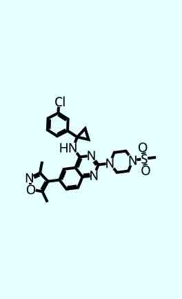 Cc1noc(C)c1-c1ccc2nc(N3CCN(S(C)(=O)=O)CC3)nc(NC3(c4cccc(Cl)c4)CC3)c2c1